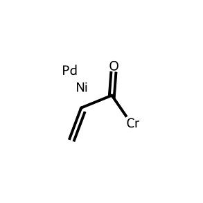 C=C[C](=O)[Cr].[Ni].[Pd]